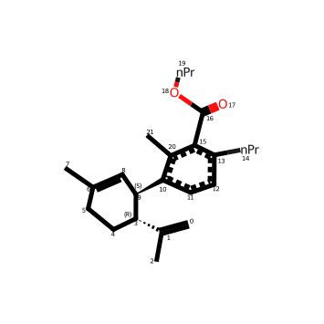 C=C(C)[C@@H]1CCC(C)=C[C@H]1c1ccc(CCC)c(C(=O)OCCC)c1C